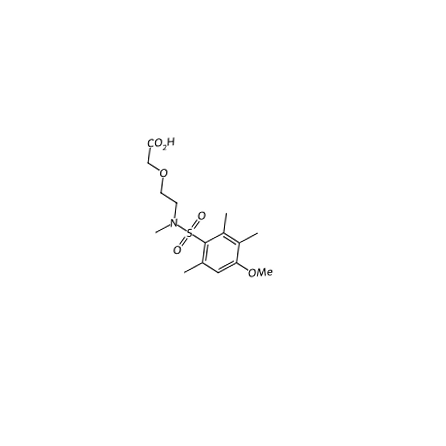 COc1cc(C)c(S(=O)(=O)N(C)CCOCC(=O)O)c(C)c1C